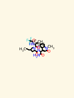 CCCC1CC(C(=O)NC(C(N)=O)c2cc(=O)n(C)c3ccccc23)N(C(=O)[C@@H](NC(=O)C(F)(F)F)C(C)(C)C)C1